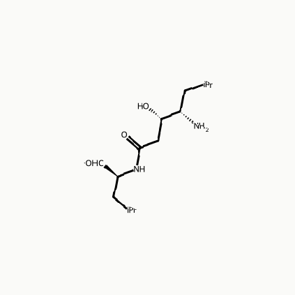 CC(C)C[C@@H]([C]=O)NC(=O)C[C@H](O)[C@@H](N)CC(C)C